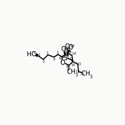 C#CCCCCC12OC(C)C(CCC)(C[S+]1[O-])CS2(=O)=O